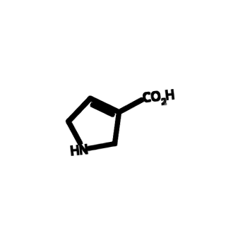 O=C(O)C1=CCNC1